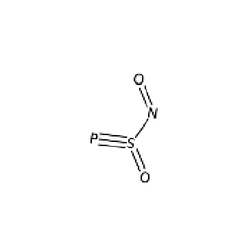 O=NS(=O)#P